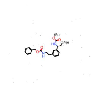 COC[C@H](NC(=O)OC(C)(C)C)c1cccc(CCNC(=O)OCc2ccccc2)c1